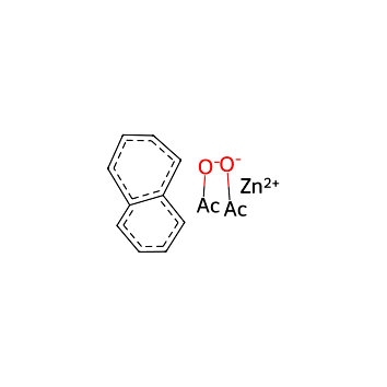 CC(=O)[O-].CC(=O)[O-].[Zn+2].c1ccc2ccccc2c1